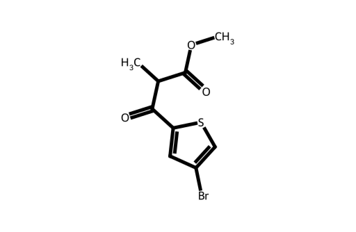 COC(=O)C(C)C(=O)c1cc(Br)cs1